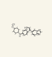 CCO[C@H]1CC[C@@H](Nc2ncc3c(-c4ccc5ncnn5c4)c[nH]c3n2)CC1